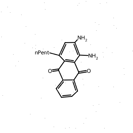 CCCCCc1cc(N)c(N)c2c1C(=O)c1ccccc1C2=O